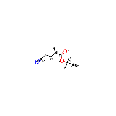 C#CC(C)(C)OC(=O)C(C)CCC#N